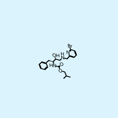 CC(C)COC(=O)N[C@@H](Cc1ccccc1)[C@@H](O)CNCc1cccc(Br)n1